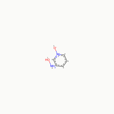 NO.[O-][n+]1ccccc1